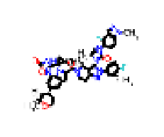 Cc1cc(-n2nc3c(c2-n2ccn(-c4ccc5c(cnn5C)c4F)c2=O)[C@H](C)N(C(=O)c2cc4cc([C@H]5CCOC(C)(C)C5)ccc4n2[C@@]2(c4noc(=O)[nH]4)C[C@@H]2C)CC3)ccc1F